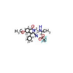 COc1ccc2c(=O)n(CCNC(C)COC(=O)C(F)(F)F)c(C#N)c(-c3ccccc3)c2c1